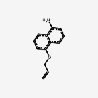 C=CCOc1cccc2c(N)cccc12